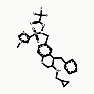 Cn1cnc(S(=O)(=O)N(Cc2ccc3c(c2)C(Cc2ccccc2)C(NCC2CC2)CO3)OC(=O)C(F)(F)F)c1